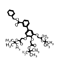 CC(C)(C)OC(=O)COc1cc(-c2cccc(C(=O)OCc3ccccc3)c2)cc(OCC(=O)OC(C)(C)C)c1OCC(=O)OC(C)(C)C